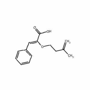 C=C(C)CCOC(=Cc1ccccc1)C(=O)O